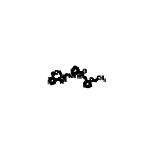 CCOc1ccccc1CNC(=O)c1cccc(NCc2nnc3n2CCOc2cnccc2-3)c1